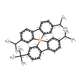 CC(C)c1ccc2c(c1)S1(c3cc(C(C)C)ccc3-2)c2cc(C(C)C)ccc2-c2ccc(C(C)(C)C)cc21